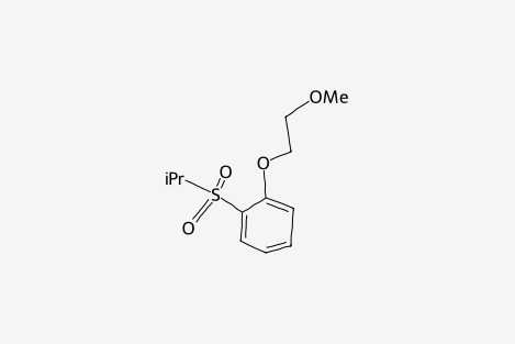 COCCOc1ccccc1S(=O)(=O)C(C)C